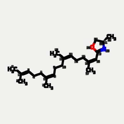 CC(C)=CCCC(C)=CCCC(C)=CCCC(C)=CC1=N[C@@H](C)CO1